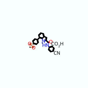 Cn1c(C(=O)Nc2ccc(C#N)cc2C(=O)O)cc2cccc(-c3ccc(S(C)(=O)=O)cc3)c21